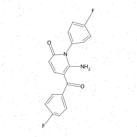 Nc1c(C(=O)c2ccc(F)cc2)ccc(=O)n1-c1ccc(F)cc1